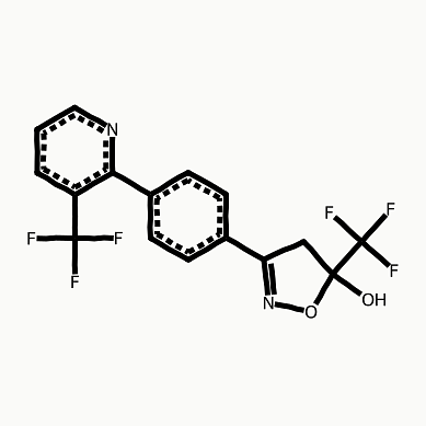 OC1(C(F)(F)F)CC(c2ccc(-c3ncccc3C(F)(F)F)cc2)=NO1